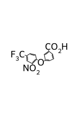 O=C(O)c1cccc(Oc2ccc(C(F)(F)F)cc2[N+](=O)[O-])c1